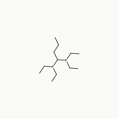 CCCC(P(CC)CC)P(CC)CC